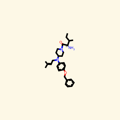 CCC(C)[C@H](N)C(=O)N1CCC(N(CC=C(C)C)c2ccc(OCc3ccccc3)cc2)CC1